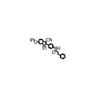 CCN1C(c2ccc(NC(=O)CCc3ccccc3)cc2)=C(C#N)C2C=CC(OC(C)C)=CC21